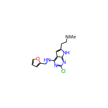 CNCCc1cc2c(NCc3ccco3)nc(Cl)nc2[nH]1